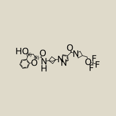 O=C(NC12CC(n3cc(C(=O)N4CC(COC(F)(F)F)C4)cn3)(C1)C2)[C@H]1C[C@@H](O)c2ccccc2O1